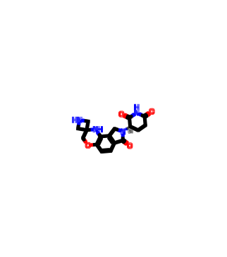 O=C1CC[C@H](N2Cc3c(ccc4c3NC3(CNC3)CO4)C2=O)C(=O)N1